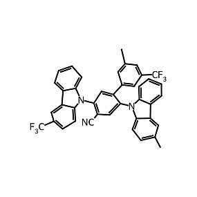 Cc1cc(-c2cc(-n3c4ccccc4c4cc(C(F)(F)F)ccc43)c(C#N)cc2-n2c3ccccc3c3cc(C)ccc32)cc(C(F)(F)F)c1